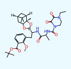 CCN1CCN(C(=O)NC(C)C(=O)NC(Cc2cccc(C(=O)OC(C)(C)C)c2OC)B2OC3C[C@@H]4C[C@@H](C4(C)C)[C@]3(C)O2)C(=O)C1=O